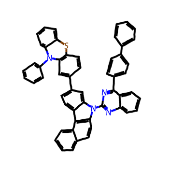 c1ccc(-c2ccc(-c3nc(-n4c5cc(-c6ccc7c(c6)N(c6ccccc6)c6ccccc6S7)ccc5c5c6ccccc6ccc54)nc4ccccc34)cc2)cc1